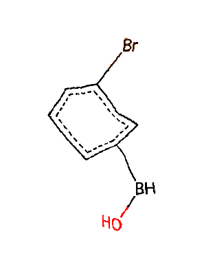 OBc1cccc(Br)c1